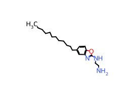 CCCCCCCCCCCCc1ccc2oc(NCCN)nc2c1